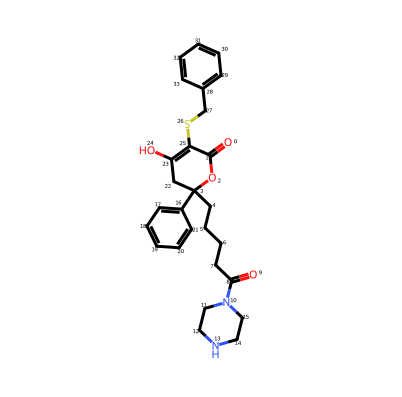 O=C1OC(CCCCC(=O)N2CCNCC2)(c2ccccc2)CC(O)=C1SCc1ccccc1